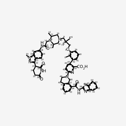 Cc1c(OCC(F)(F)CN2CC(C)N(CC(=O)Nc3ccc4c(C5CCC(=O)NC5=O)nn(C)c4c3)C(C)C2)cccc1-c1ccc(N2CCc3cccc(C(=O)Nc4nc5ccccc5s4)c3C2)nc1C(=O)O